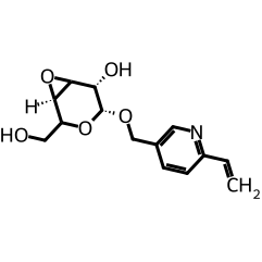 C=Cc1ccc(CO[C@@H]2OC(CO)[C@H]3OC3[C@@H]2O)cn1